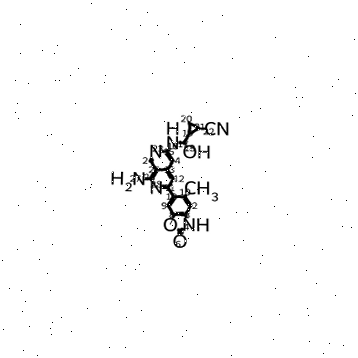 Cc1cc2[nH]c(=O)oc2cc1-c1cc2cc(NC(O)C3C[C@H]3C#N)ncc2c(N)n1